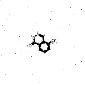 O=C1[N]N=Cc2c1cccc2C(F)(F)F